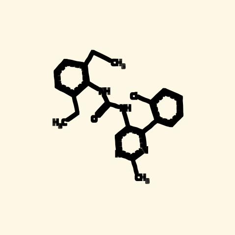 CCc1cccc(CC)c1NC(=O)Nc1cnc(C)nc1-c1ccccc1Cl